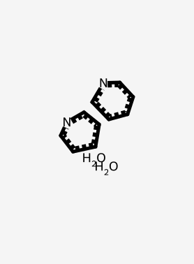 O.O.c1ccncc1.c1ccncc1